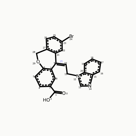 O=C(O)c1ccc2c(c1)/C(=C\Cn1cnc3ccccc31)c1cc(Br)ccc1CO2